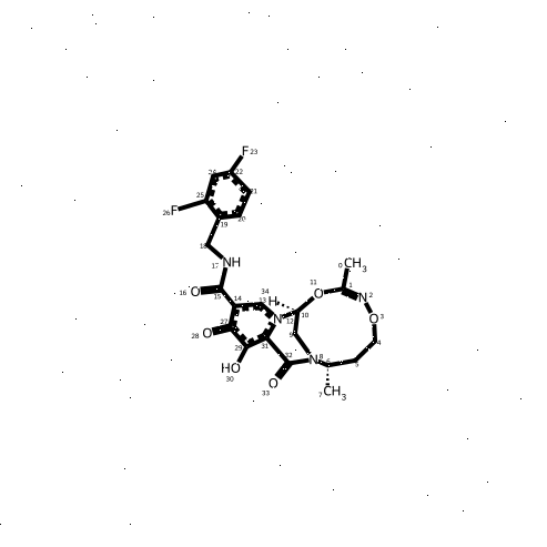 C/C1=N/OCC[C@H](C)N2C[C@H](O1)n1cc(C(=O)NCc3ccc(F)cc3F)c(=O)c(O)c1C2=O